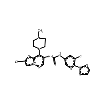 CN1CCN(c2c(NC(=O)Nc3cnc(-n4nccn4)c(Cl)c3)cnn3cc(Cl)nc23)CC1